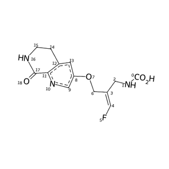 O=C(O)NC/C(=C/F)COc1cnc2c(c1)CCNC2=O